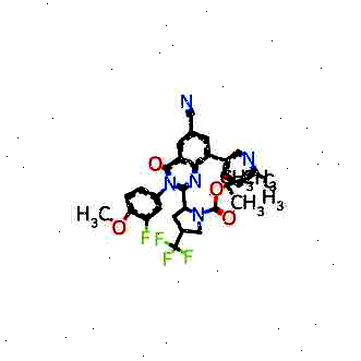 COc1ccc(-n2c(C3CC(C(F)(F)F)CN3C(=O)OC(C)(C)C)nc3c(-c4ccc(C)nc4)cc(C#N)cc3c2=O)cc1F